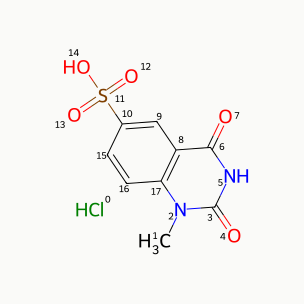 Cl.Cn1c(=O)[nH]c(=O)c2cc(S(=O)(=O)O)ccc21